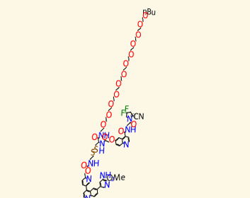 CCCCOCCOCCOCCOCCOCCOCCOCCOCCOCCOCCOCCOCCNC(=O)C(CSSCCNC(=O)OCc1ccc(-c2ccnc3ccc(-c4cnc(OC)c(N)c4)cc23)cn1)NC(=O)COc1ccc2nccc(C(=O)NCC(=O)N3CC(F)(F)C[C@H]3C#N)c2c1